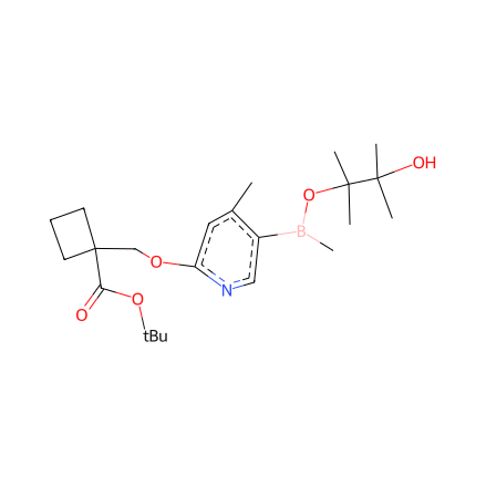 CB(OC(C)(C)C(C)(C)O)c1cnc(OCC2(C(=O)OC(C)(C)C)CCC2)cc1C